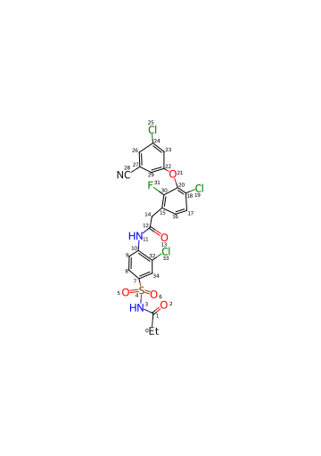 CCC(=O)NS(=O)(=O)c1ccc(NC(=O)Cc2ccc(Cl)c(Oc3cc(Cl)cc(C#N)c3)c2F)c(Cl)c1